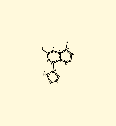 Cc1cc(-c2ccn[nH]2)c2cccc(C)c2n1